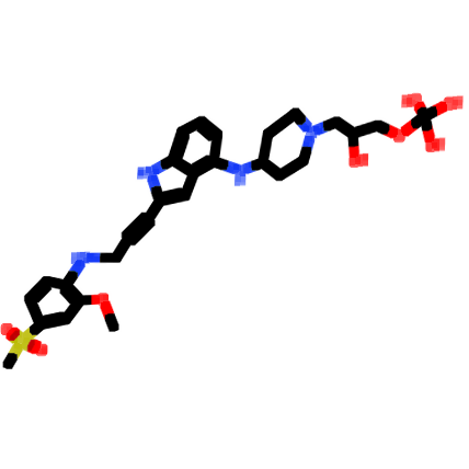 COc1cc(S(C)(=O)=O)ccc1NCC#Cc1cc2c(NC3CCN(CC(O)COC(O)(O)O)CC3)cccc2[nH]1